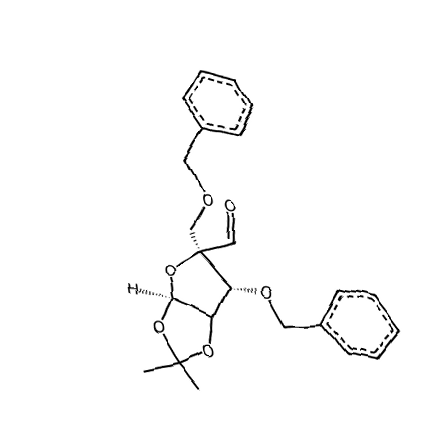 CC1(C)OC2[C@@H](O1)O[C@](C=O)(COCc1ccccc1)[C@@H]2OCc1ccccc1